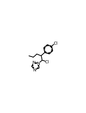 CCCC(c1ccc(Cl)cc1)C(Cl)n1cncn1